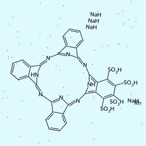 O=S(=O)(O)c1c(S(=O)(=O)O)c(S(=O)(=O)O)c2c3nc4nc(nc5[nH]c(nc6nc(nc([nH]3)c2c1S(=O)(=O)O)-c1ccccc1-6)c1ccccc51)-c1ccccc1-4.[NaH].[NaH].[NaH].[NaH].[Rh]